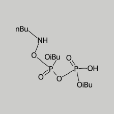 CCCCNOP(=O)(OCC(C)C)OP(=O)(O)OCC(C)C